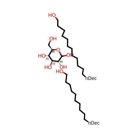 CCCCCCCCCCCCCCCCCCCCCCO.CCCCCCCCCCCCCCCCCCCCO.OC[C@H]1OC(O)[C@H](O)[C@@H](O)[C@@H]1O